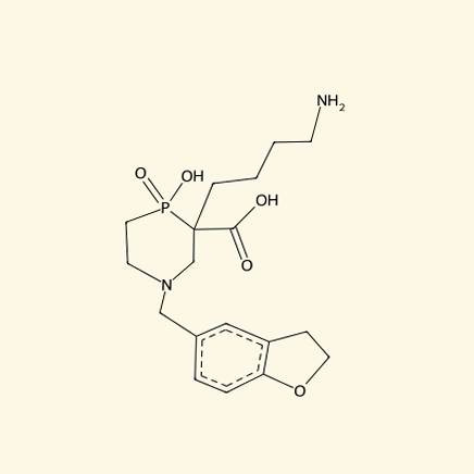 NCCCCC1(C(=O)O)CN(Cc2ccc3c(c2)CCO3)CCP1(=O)O